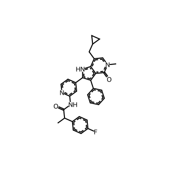 CC(C(=O)Nc1cc(-c2[nH]c3c(CC4CC4)cn(C)c(=O)c3c2-c2ccccc2)ccn1)c1ccc(F)cc1